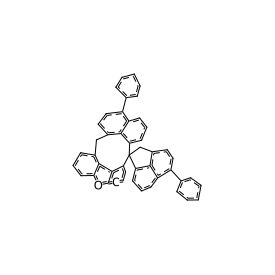 c1ccc(-c2ccc3c4c(cccc24)C2(Cc4ccc(-c5ccccc5)c5cccc2c45)c2cccc4oc5cccc(c5c24)C3)cc1